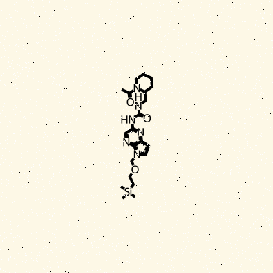 CC(=O)N1CCCCC1CNC(=O)Nc1cnc2c(ccn2COCC[Si](C)(C)C)n1